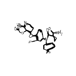 NC(=O)C1(C(=O)N(c2ccc(F)cc2)c2ccc(Oc3ccnc4c3OCC(=O)N4)c(F)c2)CC1